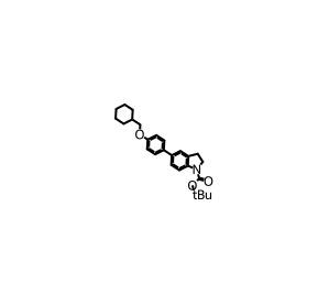 CC(C)(C)OC(=O)N1CCc2cc(-c3ccc(OCC4CCCCC4)cc3)ccc21